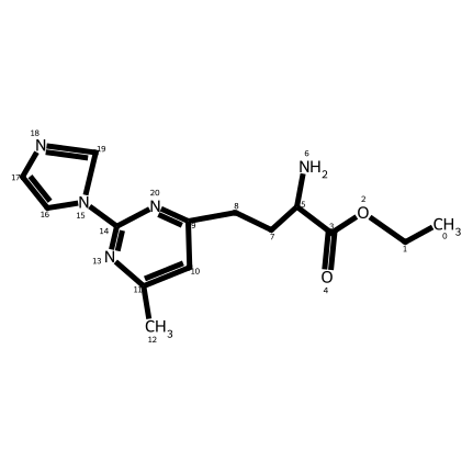 CCOC(=O)C(N)CCc1cc(C)nc(-n2ccnc2)n1